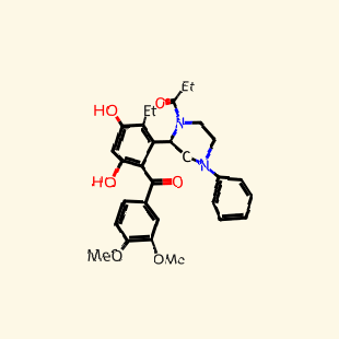 CCC(=O)N1CCN(c2ccccc2)CC1c1c(CC)c(O)cc(O)c1C(=O)c1ccc(OC)c(OC)c1